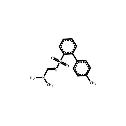 Cc1ccc(-c2ccccc2S(=O)(=O)/N=C/N(C)C)cc1